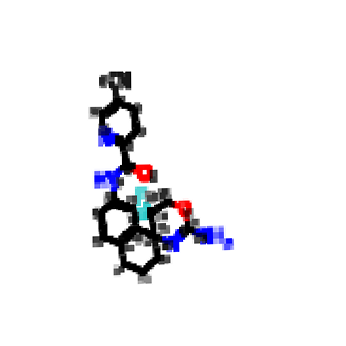 N#Cc1ccc(C(=O)Nc2ccc3c(c2)[C@@]2(CCC3)N=C(N)OCC2(F)F)nc1